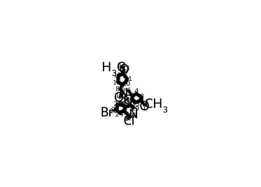 COc1ccc(CN(Cc2ccc(OC)cc2)S(=O)(=O)c2cc(Br)cc3c(Cl)nccc23)cc1